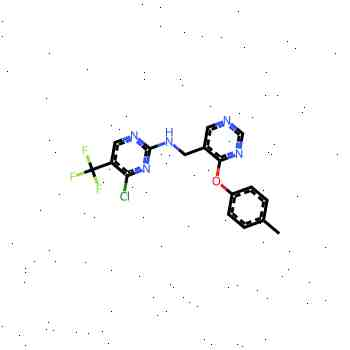 Cc1ccc(Oc2ncncc2CNc2ncc(C(F)(F)F)c(Cl)n2)cc1